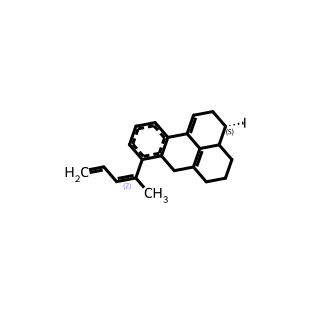 C=C/C=C(/C)c1cccc2c1CC1=C3C2=CC[C@H](I)C3CCC1